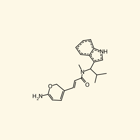 CC(C)C(c1c[nH]c2ccccc12)N(C)C(=O)/C=C/C1=CC=C(N)OC1